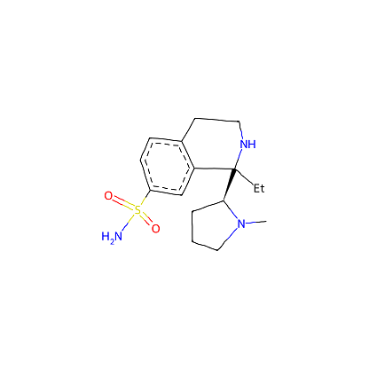 CCC1([C@@H]2CCCN2C)NCCc2ccc(S(N)(=O)=O)cc21